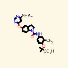 CC(=O)Nc1cc(Oc2ccc3c(c2)CCN3C(=O)Nc2ccc(OC(C)(C)C(=O)O)c(C(F)(F)F)c2)ncn1